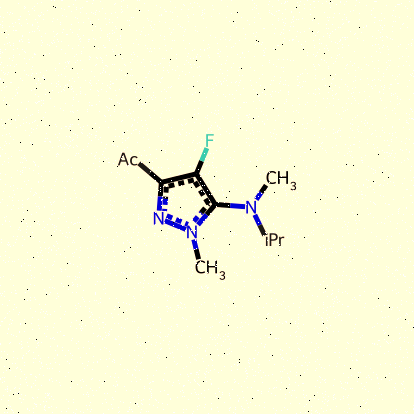 CC(=O)c1nn(C)c(N(C)C(C)C)c1F